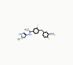 CC[C@H]1CC(NC(C)c2ccc(Cc3ccc(F)c(C)c3)c(F)c2)=CN1